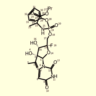 C=C(C)[C@]1(O)[C@H](n2ccc(=O)[nH]c2=O)O[C@](F)(COP(=O)(NC(C)C(=O)OC(C)C)Oc2ccccc2)[C@H]1O